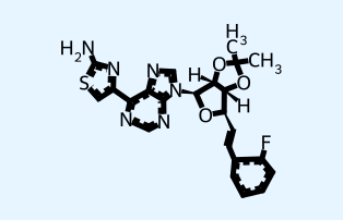 CC1(C)O[C@@H]2[C@H](O1)[C@@H](C=Cc1ccccc1F)O[C@H]2n1cnc2c(-c3csc(N)n3)ncnc21